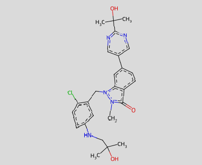 Cn1c(=O)c2ccc(-c3cnc(C(C)(C)O)nc3)cc2n1Cc1cc(NCC(C)(C)O)ccc1Cl